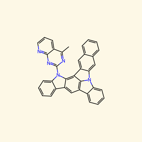 Cc1nc(-n2c3ccccc3c3cc4c5ccccc5n5c6cc7ccccc7cc6c(c32)c45)nc2ncccc12